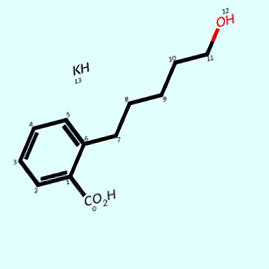 O=C(O)c1ccccc1CCCCCO.[KH]